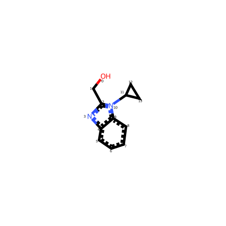 OCc1nc2ccccc2n1C1CC1